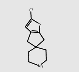 Clc1cc2c(s1)CC1(CCNCC1)C2